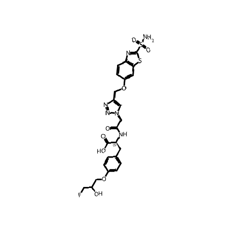 NS(=O)(=O)c1nc2ccc(OCc3cn(CC(=O)N[C@@H](Cc4ccc(OCC(O)CF)cc4)C(=O)O)nn3)cc2s1